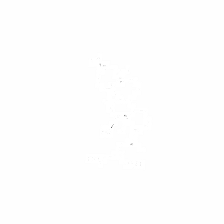 CCOC(=O)C(C[C@@H](C)[C@H]1CCC2C3CC[C@@H]4C[C@H](O)CC[C@]4(C)C3C[C@H](O)[C@@]21C)C(=O)OCC